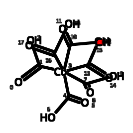 O=[C](O)[Co]([C](=O)O)([C](=O)O)([C](=O)O)([C](=O)O)[C](=O)O